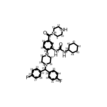 O=C(Nc1cc(C(=O)N2CCNCC2)ccc1N1CCN(C(c2ccc(F)cc2)c2ccc(F)cc2)CC1)NC1CCCCC1